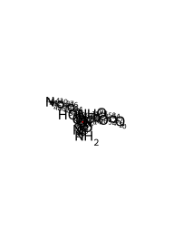 CCOc1ccc(C2COc3cc4c(cc3O2)CN(S(=O)(=O)c2sc(N)nc2C)[C@H](C(=O)N[C@@H](Cc2ccc(-c3ccc(C#N)cc3)cc2)C(=O)O)C4)cc1